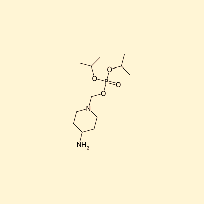 CC(C)OP(=O)(OCN1CCC(N)CC1)OC(C)C